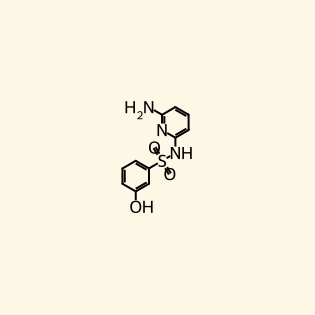 Nc1cccc(NS(=O)(=O)c2cccc(O)c2)n1